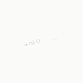 CCCCCC1CCC(c2ccc(-c3cc4sc(C#N)cc4s3)cc2)CC1